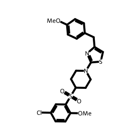 COc1ccc(Cc2csc(N3CCC(S(=O)(=O)c4cc(Cl)ccc4OC)CC3)n2)cc1